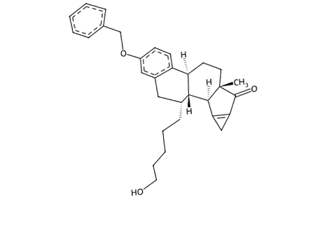 C[C@]12CC[C@@H]3c4ccc(OCc5ccccc5)cc4C[C@@H](CCCCCO)[C@H]3[C@@H]1C1=C(C1)C2=O